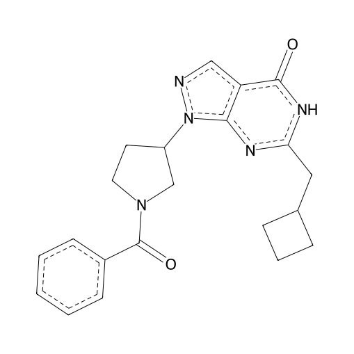 O=C(c1ccccc1)N1CCC(n2ncc3c(=O)[nH]c(CC4CCC4)nc32)C1